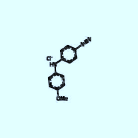 COc1ccc(Nc2ccc([N+]#N)cc2)cc1.[Cl-]